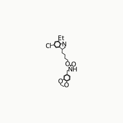 CCc1cc(Cl)cc2c1N=CC2CCCCOC(=O)NCc1ccc2c(c1)OCCO2